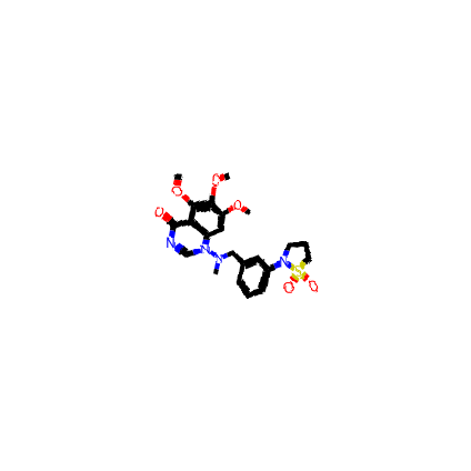 COc1cc2c(c(OC)c1OC)c(=O)ncn2N(C)Cc1cccc(N2CCCS2(=O)=O)c1